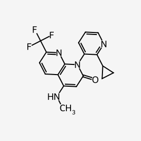 CNc1cc(=O)n(-c2cccnc2C2CC2)c2nc(C(F)(F)F)ccc12